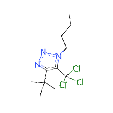 CCCCn1nnc(C(C)(C)C)c1C(Cl)(Cl)Cl